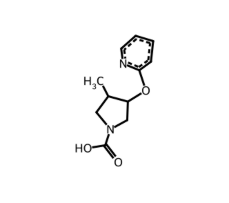 CC1CN(C(=O)O)CC1Oc1ccccn1